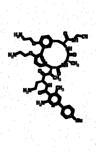 Cc1cc(-c2ccc(C(C)(C)C)cc2)nc(N)c1C(=O)N[C@@H](CCN)C(=O)N(C)[C@@H]1C(=O)N[C@@H](C)C(=O)N[C@H](C(=O)NCC#N)Cc2ccc(OCCN)c(c2)-c2cc1ccc2OCCN